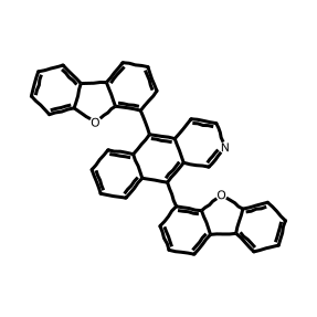 c1ccc2c(c1)oc1c(-c3c4ccccc4c(-c4cccc5c4oc4ccccc45)c4cnccc34)cccc12